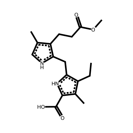 CCc1c(Cc2[nH]cc(C)c2CCC(=O)OC)[nH]c(C(=O)O)c1C